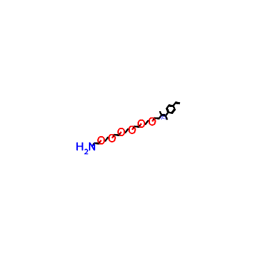 C=Cc1ccc(/C(C)=C(\C)CCOCCOCCOCCOCCOCCOCCN)cc1